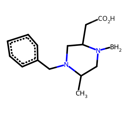 BN1CC(C)N(Cc2ccccc2)CC1CC(=O)O